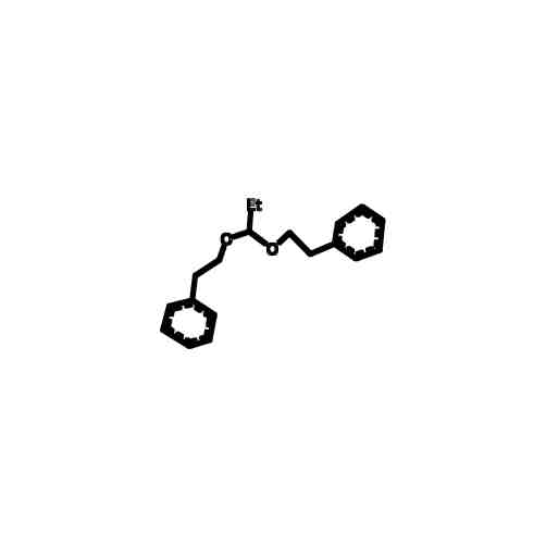 CCC(OCCc1ccccc1)OCCc1ccccc1